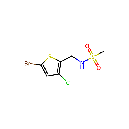 CS(=O)(=O)NCc1sc(Br)cc1Cl